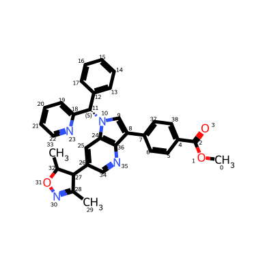 COC(=O)c1ccc(-c2cn([C@@H](c3ccccc3)c3ccccn3)c3cc(C4C(C)=NOC4C)cnc23)cc1